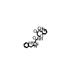 CN1C(=O)C[C@@H](NC(=O)c2nnc(Cc3ccccc3)[nH]2)Oc2cccnc21